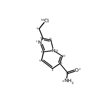 NC(=O)c1ccc2nc(CCl)cn2c1